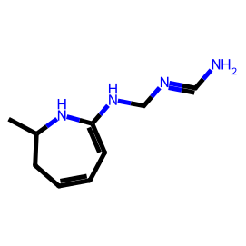 CC1CC=CC=C(NC/N=C/N)N1